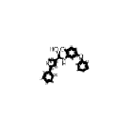 O=C(Nc1cc(Oc2ccccc2)ccc1C(=O)O)c1cc(-c2ccccc2)no1